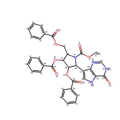 CC(C)(C)OC(=O)N1C(COC(=O)c2ccccc2)C(OC(=O)c2ccccc2)C(OC(=O)c2ccccc2)C1c1c[nH]c2c(=O)[nH]cnc12